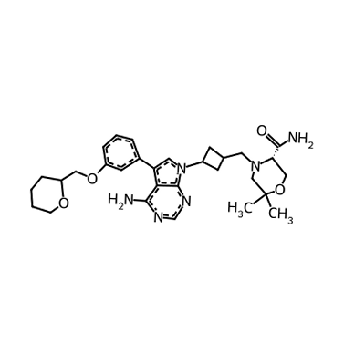 CC1(C)CN(CC2CC(n3cc(-c4cccc(OCC5CCCCO5)c4)c4c(N)ncnc43)C2)[C@H](C(N)=O)CO1